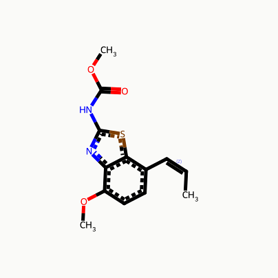 C/C=C\c1ccc(OC)c2nc(NC(=O)OC)sc12